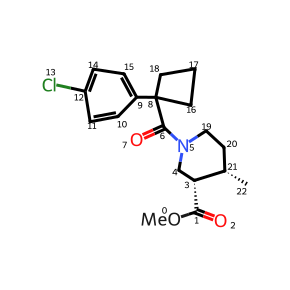 COC(=O)[C@@H]1CN(C(=O)C2(c3ccc(Cl)cc3)CCC2)CC[C@@H]1C